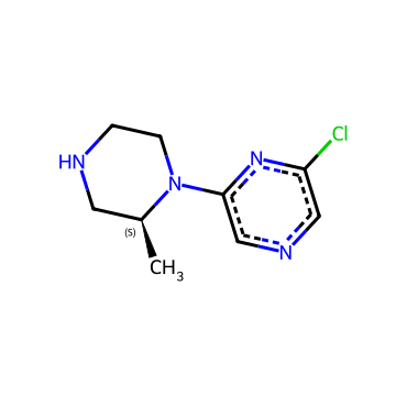 C[C@H]1CNCCN1c1cncc(Cl)n1